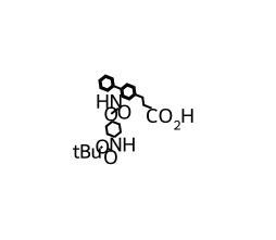 CC(C)(C)OC(=O)NC1CCC(OC(=O)Nc2cc(CCCC(=O)O)ccc2-c2ccccc2)CC1